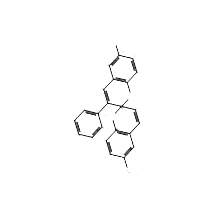 O=[N+]([O-])c1ccc2c(c1)C=CC1(Oc3ccc(Cl)cc3C=C1c1ccccc1)O2